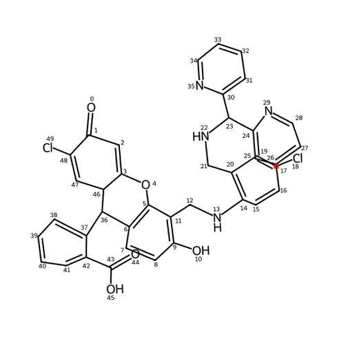 O=C1C=C2Oc3c(ccc(O)c3CNc3ccc(Cl)cc3CNC(c3ccccn3)c3ccccn3)C(c3ccccc3C(=O)O)C2C=C1Cl